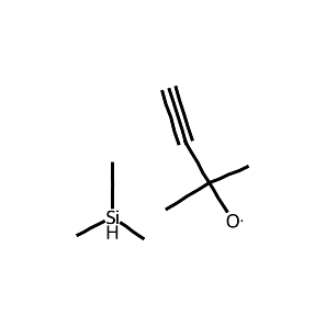 C#CC(C)(C)[O].C[SiH](C)C